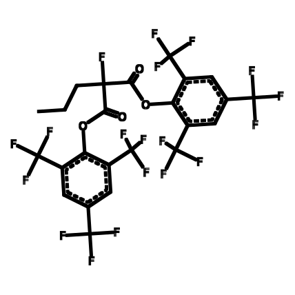 CCCC(F)(C(=O)Oc1c(C(F)(F)F)cc(C(F)(F)F)cc1C(F)(F)F)C(=O)Oc1c(C(F)(F)F)cc(C(F)(F)F)cc1C(F)(F)F